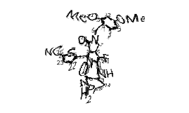 COc1ccc(CN2Cc3c(F)c(NC(CC(C)C)C(N)=O)nc(-c4ccc(C#N)s4)c3C2=O)c(OC)c1